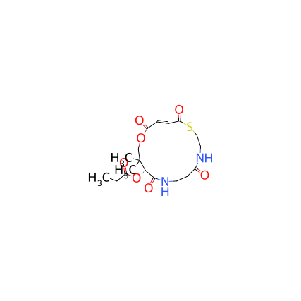 CCC(=O)O[C@H]1C(=O)NCCC(=O)NCCSC(=O)/C=C/C(=O)OCC1(C)C